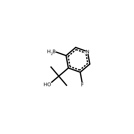 Bc1cncc(F)c1C(C)(C)O